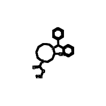 CC(C)(C)OC(=O)N1CCCCCN(C(c2ccccc2)c2ccccc2)C(O)CC1